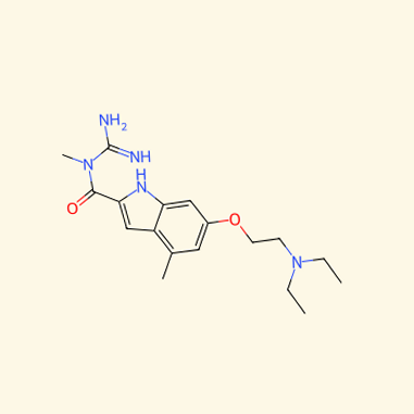 CCN(CC)CCOc1cc(C)c2cc(C(=O)N(C)C(=N)N)[nH]c2c1